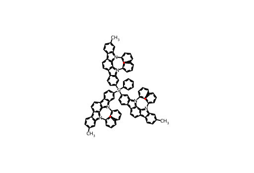 Cc1ccc2c3ccc4c5ccc([Si](c6ccccc6)(c6ccc7c8ccc9c%10ccc(C)cc%10n(-c%10ccccc%10)c9c8n(-c8ccccc8)c7c6)c6ccc7c8ccc9c%10ccc(C)cc%10n(-c%10ccccc%10)c9c8n(-c8ccccc8)c7c6)cc5n(-c5ccccc5)c4c3n(-c3ccccc3)c2c1